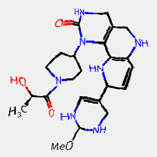 COC1NC=C(C2C=CC3=C(N2)C2=C(CNC(=O)N2C2CCN(C(=O)[C@@H](C)O)CC2)CN3)CN1